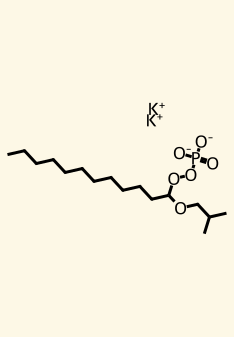 CCCCCCCCCCCC(OCC(C)C)OOP(=O)([O-])[O-].[K+].[K+]